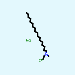 CCCCCCCCCCCCCCCCCCN(C)CCCl.Cl